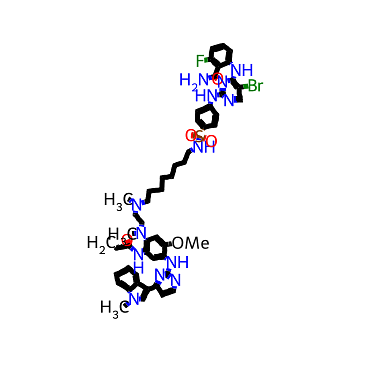 C=CC(=O)Nc1cc(Nc2nccc(-c3cn(C)c4ccccc34)n2)c(OC)cc1N(C)CCN(C)CCCCCCCCNS(=O)(=O)c1ccc(Nc2ncc(Br)c(Nc3cccc(F)c3C(N)=O)n2)cc1